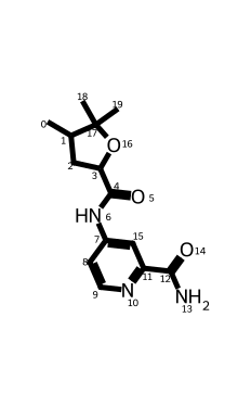 CC1CC(C(=O)Nc2ccnc(C(N)=O)c2)OC1(C)C